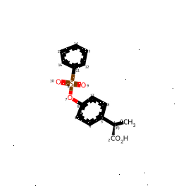 C[C@@H](C(=O)O)c1ccc(OS(=O)(=O)c2ccccc2)cc1